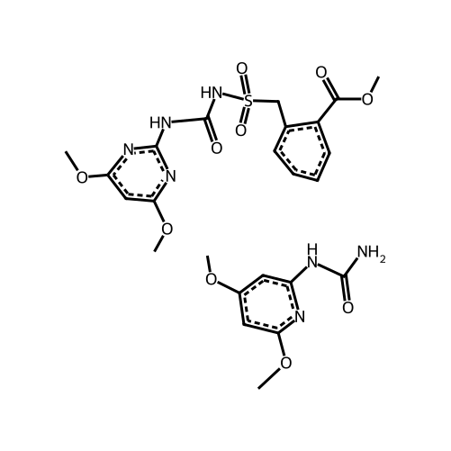 COC(=O)c1ccccc1CS(=O)(=O)NC(=O)Nc1nc(OC)cc(OC)n1.COc1cc(NC(N)=O)nc(OC)c1